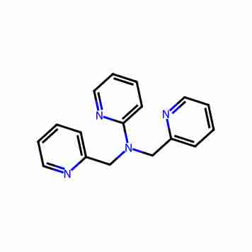 c1ccc(CN(Cc2ccccn2)c2ccccn2)nc1